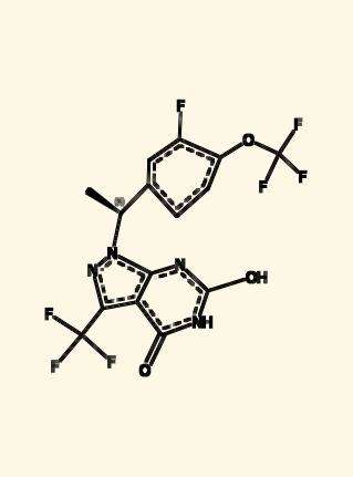 C[C@@H](c1ccc(OC(F)(F)F)c(F)c1)n1nc(C(F)(F)F)c2c(=O)[nH]c(O)nc21